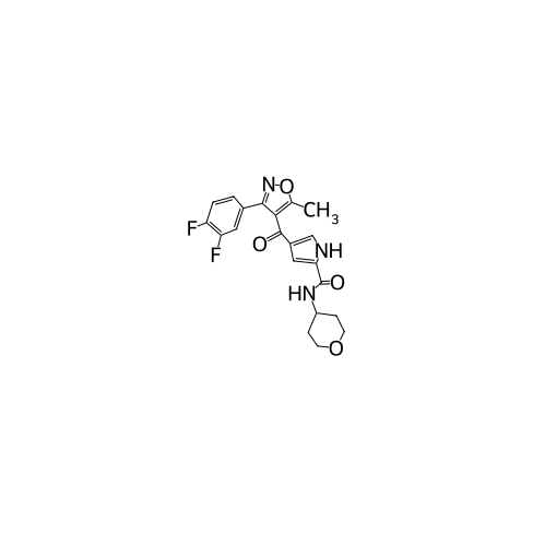 Cc1onc(-c2ccc(F)c(F)c2)c1C(=O)c1c[nH]c(C(=O)NC2CCOCC2)c1